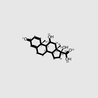 C[C@]12C=CC(=O)C=C1CCC1C2C(O)C[C@@]2(C)C1CC[C@@]2(O)C(=O)O